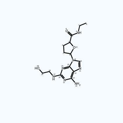 CCNC(=O)C1CCC(n2cnc3c(N)nc(NCCO)nc32)O1